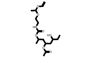 C=COC(C)OCCNC(=O)OC(C)CC(CC(O)CC)OC(C)=O